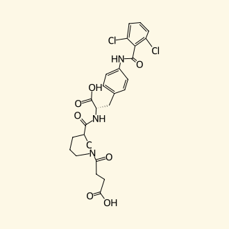 O=C(O)CCC(=O)N1CCCC(C(=O)N[C@@H](Cc2ccc(NC(=O)c3c(Cl)cccc3Cl)cc2)C(=O)O)C1